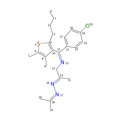 CCCCc1sc(C)c(C)c1/C(=N\C/C(C)=N/N=C(C)C)c1ccc(Cl)cc1